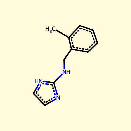 Cc1ccccc1CNc1ncc[nH]1